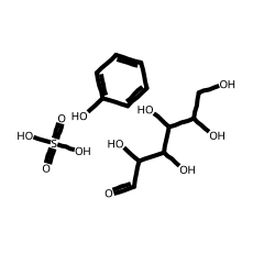 O=CC(O)C(O)C(O)C(O)CO.O=S(=O)(O)O.Oc1ccccc1